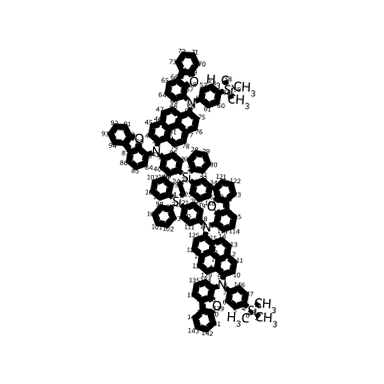 C[Si](C)(C)c1ccc(N(c2ccc3ccc4c(N(c5ccc([Si](CC[Si](c6ccccc6)(c6ccccc6)c6ccc(N(c7ccc8ccc9c(N(c%10ccc([Si](C)(C)C)cc%10)c%10cccc%11c%10oc%10ccccc%10%11)ccc%10ccc7c8c%109)c7cccc8c7oc7ccccc78)cc6)(c6ccccc6)c6ccccc6)cc5)c5cccc6c5oc5ccccc56)ccc5ccc2c3c54)c2cccc3c2oc2ccccc23)cc1